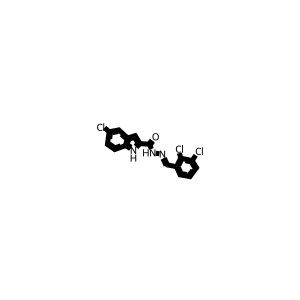 O=C(N/N=C/c1cccc(Cl)c1Cl)c1cc2cc(Cl)ccc2[nH]1